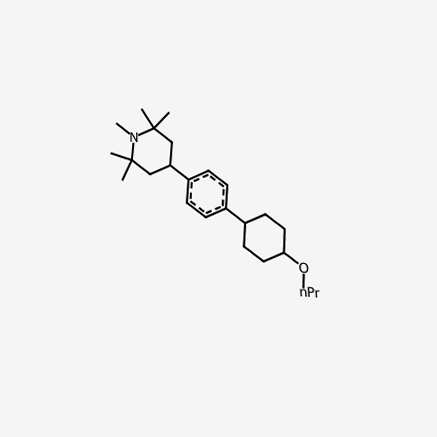 CCCOC1CCC(c2ccc(C3CC(C)(C)N(C)C(C)(C)C3)cc2)CC1